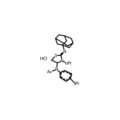 CCCN1C(=NC23CC4CC(CC(C4)C2)C3)SCC1N(C(C)=O)c1ccc(C(C)C)cc1.Cl